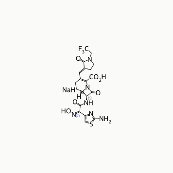 Nc1nc(/C(=N/O)C(=O)N[C@@H]2C(=O)N3C(C(=O)O)=C(C=C4CCN(CC(F)(F)F)C4=O)CC[C@H]23)cs1.[NaH]